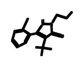 CCCn1[nH]c(-c2ccccc2C)c(C(C)(C)C)c1=O